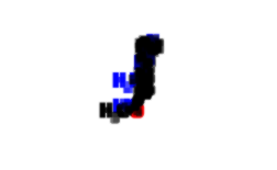 CCNC(=O)C#Cc1ccc2c(c1)[C@@H](N)C1(CCN(c3cnc(N4CCCc5ncccc54)cn3)CC1)C2